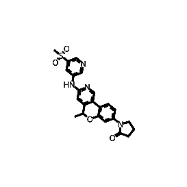 CC1Oc2cc(N3CCCC3=O)ccc2-c2cnc(Nc3cncc(S(C)(=O)=O)c3)cc21